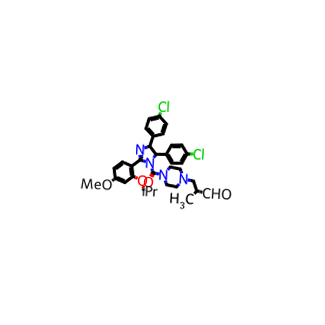 COc1ccc(C2=NC(c3ccc(Cl)cc3)C(c3ccc(Cl)cc3)N2C(=O)N2CCN(CC(C)C=O)CC2)c(OC(C)C)c1